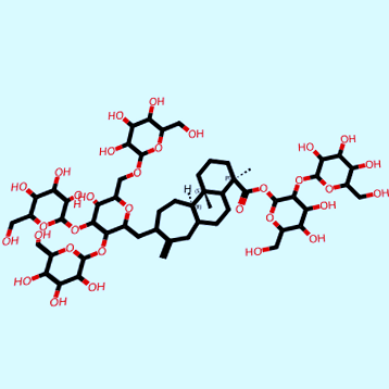 C=C1CC2CCC3[C@](C)(C(=O)OC4OC(CO)C(O)C(O)C4OC4OC(CO)C(O)C(O)C4O)CCC[C@@]3(C)[C@@H]2CCC1CC1OC(COC2OC(CO)C(O)C(O)C2O)C(O)C(OC2OC(CO)C(O)C(O)C2O)C1OC1OC(CO)C(O)C(O)C1O